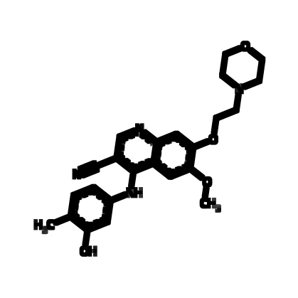 COc1cc2c(Nc3ccc(C)c(O)c3)c(C#N)cnc2cc1OCCN1CCOCC1